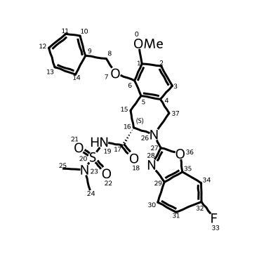 COc1ccc2c(c1OCc1ccccc1)C[C@@H](C(=O)NS(=O)(=O)N(C)C)N(c1nc3ccc(F)cc3o1)C2